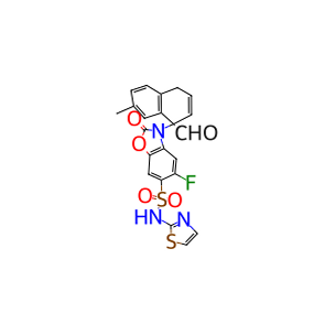 Cc1ccc2c(c1)C(C=O)(n1c(=O)oc3cc(S(=O)(=O)Nc4nccs4)c(F)cc31)C=CC2